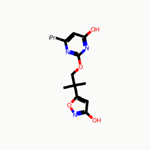 CC(C)c1cc(O)nc(OCC(C)(C)c2cc(O)no2)n1